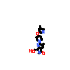 Cc1cncc(OC2CCN(c3nc4c(cc3C)C(=O)N(C)[C@H]4CO)CC2)c1